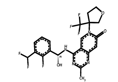 Cc1nc(N[C@H](O)c2cccc(C(F)F)c2F)c2cn(C3(C(F)(F)F)CCOC3)c(=O)cc2n1